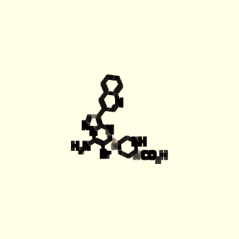 Nc1c(Br)c([C@H]2CC[C@@H](C(=O)O)NC2)nc2c(-c3cnc4ccccc4c3)cnn12